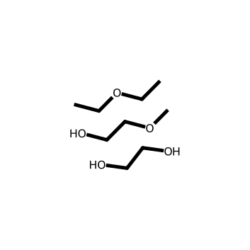 CCOCC.COCCO.OCCO